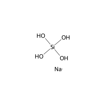 O[Si](O)(O)O.[Na]